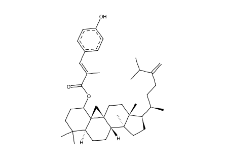 C=C(CC[C@@H](C)[C@H]1CC[C@@]2(C)[C@@H]3CC[C@H]4C(C)(C)CCC(OC(=O)/C(C)=C/c5ccc(O)cc5)[C@@]45C[C@@]35CC[C@]12C)C(C)C